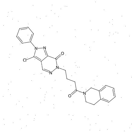 O=C(CCCn1ncc2c(Cl)n(-c3ccccc3)nc2c1=O)N1CCc2ccccc2C1